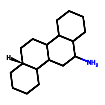 NC1CC2C(CC[C@H]3CCCCC23)C2CCCCC12